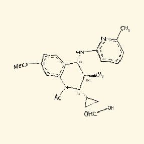 COc1ccc2c(c1)N(C(C)=O)[C@@H](C1CC1)[C@H](C)[C@H]2Nc1cccc(C)n1.O=CO